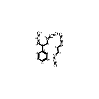 O=C=NCC(N=C=O)c1ccccc1.O=C=NCCN=C=O